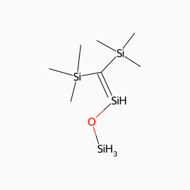 C[Si](C)(C)C(=[SiH]O[SiH3])[Si](C)(C)C